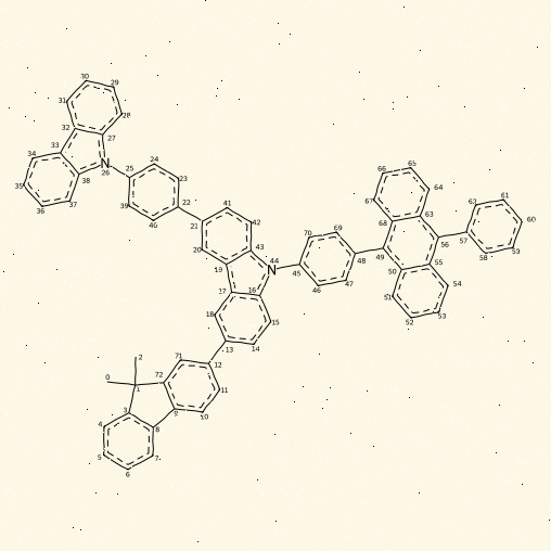 CC1(C)c2ccccc2-c2ccc(-c3ccc4c(c3)c3cc(-c5ccc(-n6c7ccccc7c7ccccc76)cc5)ccc3n4-c3ccc(-c4c5ccccc5c(-c5ccccc5)c5ccccc45)cc3)cc21